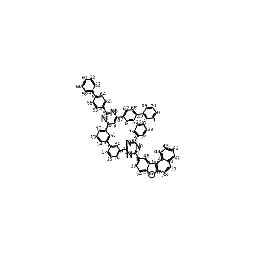 c1ccc(-c2ccc(-c3cc(-c4cccc(-c5cccc(-c6nc(-c7ccccc7)nc(-c7ccc8oc9ccc%10ccccc%10c9c8c7)n6)c5)c4)nc(-c4ccc(-c5ccccc5)cc4)n3)cc2)cc1